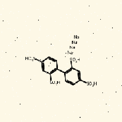 O=S(=O)(O)c1ccc(-c2ccc(S(=O)(=O)O)cc2S(=O)(=O)O)c(S(=O)(=O)O)c1.[Na].[Na].[Na].[Na]